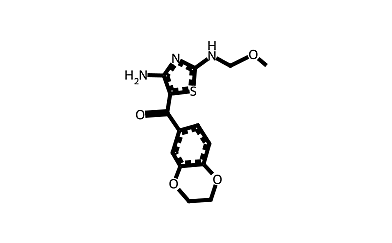 COCNc1nc(N)c(C(=O)c2ccc3c(c2)OCCO3)s1